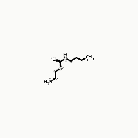 CCCCNC(=O)SCCN